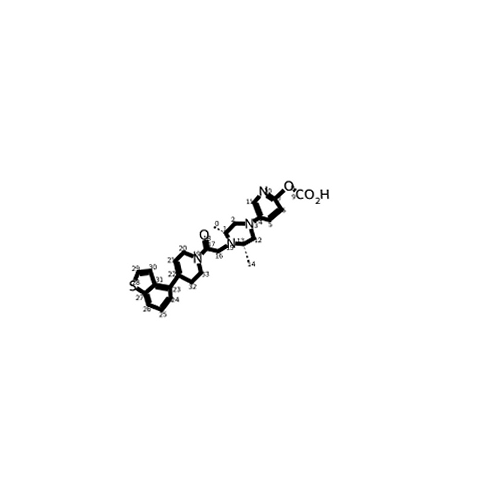 C[C@@H]1CN(c2ccc(OC(=O)O)nc2)C[C@H](C)N1CC(=O)N1CC=C(c2cccc3sccc23)CC1